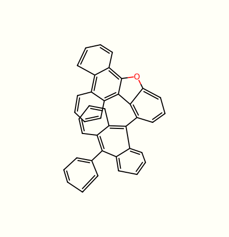 c1ccc(-c2c3ccccc3c(-c3cccc4oc5c6ccccc6c6ccccc6c5c34)c3ccccc23)cc1